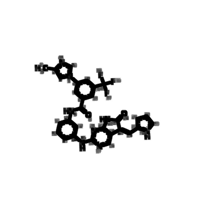 Cc1cn(-c2cc(C(=O)Nc3cccc(Nc4ncc5c(n4)NC(=O)C5=Cc4ccc[nH]4)c3)cc(C(F)(F)F)c2)cn1